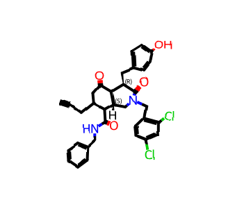 C#CCC1CC(=O)C2[C@H](CN(Cc3ccc(Cl)cc3Cl)C(=O)[C@@H]2Cc2ccc(O)cc2)C1C(=O)NCc1ccccc1